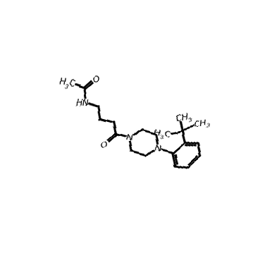 CC(=O)NCCCC(=O)N1CCN(c2ccccc2C(C)(C)C)CC1